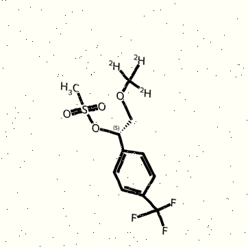 [2H]C([2H])([2H])OC[C@@H](OS(C)(=O)=O)c1ccc(C(F)(F)F)cc1